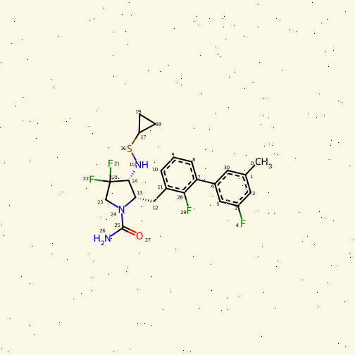 Cc1cc(F)cc(-c2cccc(C[C@H]3[C@@H](NSC4CC4)C(F)(F)CN3C(N)=O)c2F)c1